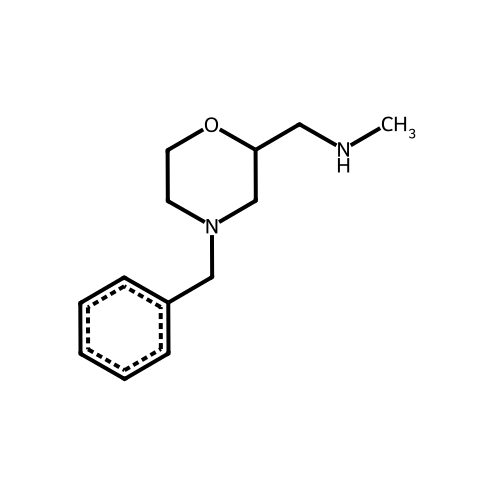 CNCC1CN(Cc2ccccc2)CCO1